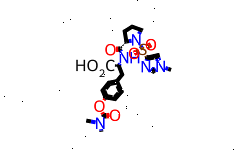 CN(C)C(=O)Oc1ccc(C[C@H](NC(=O)[C@@H]2CCCN2S(=O)(=O)c2cn(C)cn2)C(=O)O)cc1